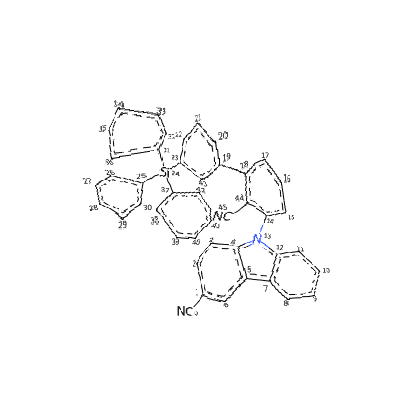 N#Cc1ccc2c(c1)c1ccccc1n2-c1cccc(-c2cccc([Si](c3ccccc3)(c3ccccc3)c3ccccc3)c2)c1C#N